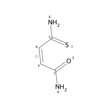 NC(=O)/C=C\C(N)=S